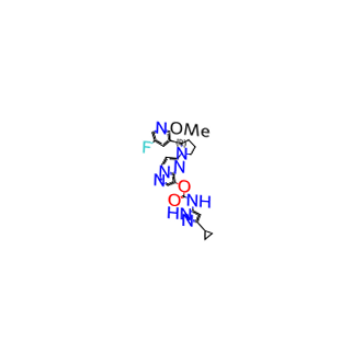 COc1ncc(F)cc1[C@H]1CCCN1c1ccn2ncc(OC(=O)Nc3cc(C4CC4)n[nH]3)c2n1